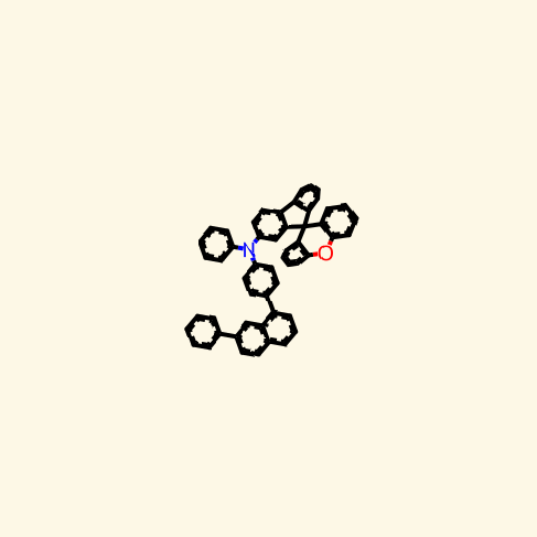 c1ccc(-c2ccc3cccc(-c4ccc(N(c5ccccc5)c5ccc6c(c5)C5(c7ccccc7Oc7ccccc75)c5ccccc5-6)cc4)c3c2)cc1